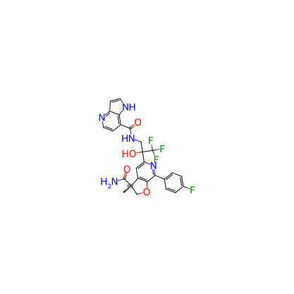 C[C@]1(C(N)=O)COc2c1cc(C(O)(CNC(=O)c1ccnc3cc[nH]c13)C(F)(F)F)nc2-c1ccc(F)cc1